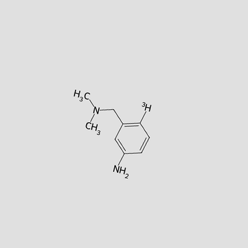 [3H]c1ccc(N)cc1CN(C)C